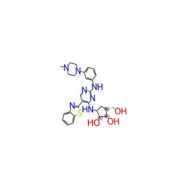 CN1CCN(c2cccc(Nc3ncc(-c4nc5ccccc5s4)c(NC4C[C@H](CO)[C@@H](O)[C@H]4O)n3)c2)CC1